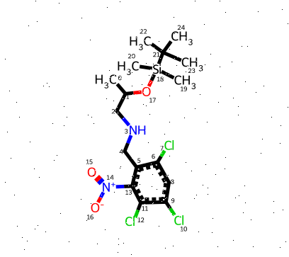 CC(CNCc1c(Cl)cc(Cl)c(Cl)c1[N+](=O)[O-])O[Si](C)(C)C(C)(C)C